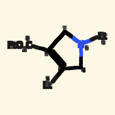 CCOC(=O)C1=C(CC)CN(CC)C1